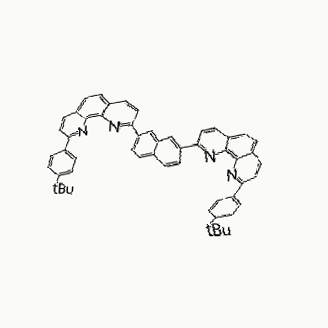 CC(C)(C)c1ccc(-c2ccc3ccc4ccc(-c5ccc6ccc(-c7ccc8ccc9ccc(-c%10ccc(C(C)(C)C)cc%10)nc9c8n7)cc6c5)nc4c3n2)cc1